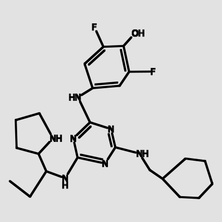 CCC(Nc1nc(NCC2CCCCC2)nc(Nc2cc(F)c(O)c(F)c2)n1)C1CCCN1